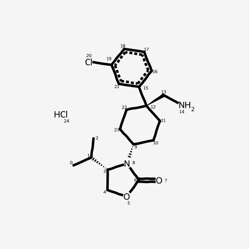 CC(C)[C@H]1COC(=O)N1[C@H]1CC[C@@](CN)(c2cccc(Cl)c2)CC1.Cl